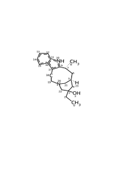 CCC1(O)C[C@@H]2C[C@@H](C)c3[nH]c4ccccc4c3CCN(C2)C1